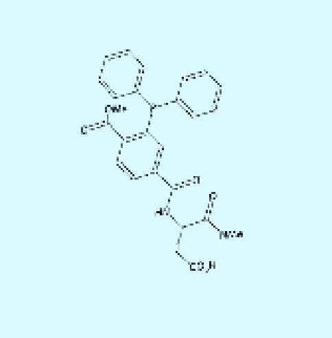 CNC(=O)[C@H](CC(=O)O)NC(=O)c1ccc(C(=O)OC)c(P(c2ccccc2)c2ccccc2)c1